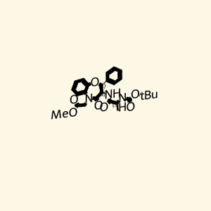 COC(=O)CN1C(=O)[C@@H](NC(=O)[C@H](C)NC(=O)OC(C)(C)C)[C@@H](c2ccccc2)Oc2ccccc21